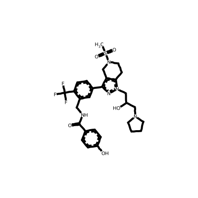 CS(=O)(=O)N1CCc2c(c(-c3ccc(C(F)(F)F)c(CNC(=O)c4ccc(O)cc4)c3)nn2CC(O)CN2CCCC2)C1